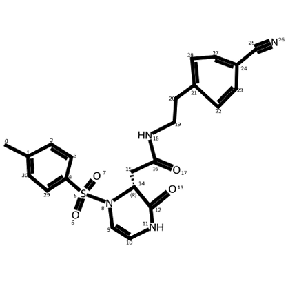 Cc1ccc(S(=O)(=O)N2C=CNC(=O)[C@H]2CC(=O)NCCc2ccc(C#N)cc2)cc1